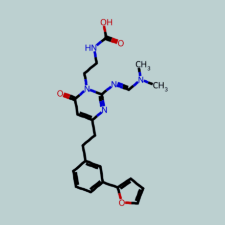 CN(C)C=Nc1nc(CCc2cccc(-c3ccco3)c2)cc(=O)n1CCNC(=O)O